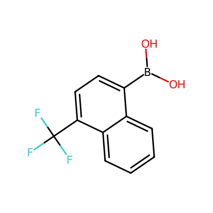 OB(O)c1ccc(C(F)(F)F)c2ccccc12